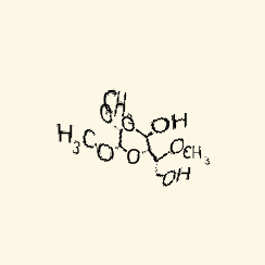 CO[C@@H]1O[C@@H](O)[C@H]([C@@H](CO)OC)O[C@@H]1OC